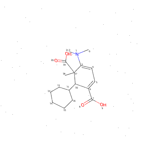 CN(C)C1=CC=C(C(=O)O)C(C2CCCCC2)C1(C)C(=O)O